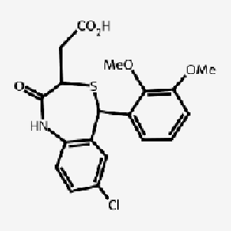 COc1cccc(C2SC(CC(=O)O)C(=O)Nc3ccc(Cl)cc32)c1OC